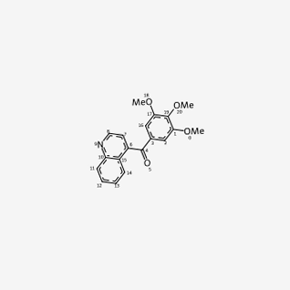 COc1cc(C(=O)c2ccnc3ccccc23)cc(OC)c1OC